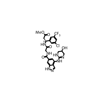 COC(=O)C[C@H](NC(=O)CNC(=O)c1cc(NC2=NCC(O)CN2)c2cn[nH]c2c1)c1cc(Cl)cc(C(F)(F)F)c1